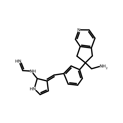 N=CNC1NC=C/C1=C\c1cccc(C2(CN)Cc3ccncc3C2)c1